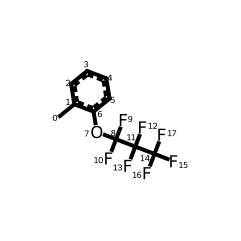 Cc1ccccc1OC(F)(F)C(F)(F)C(F)(F)F